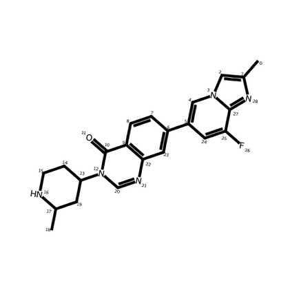 Cc1cn2cc(-c3ccc4c(=O)n(C5CCNC(C)C5)cnc4c3)cc(F)c2n1